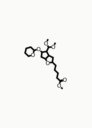 COC(=O)CCCCC1CC2C(CC(OC3CCCCO3)C2C(OC)OC)O1